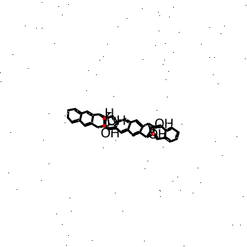 OC1C2c3cc4ccccc4cc3C(c3cc4cc5cc6c(cc5cc4cc32)C2c3cc4c(cc3C6[C@H](O)[C@@H]2O)=CCCC=4)C1O